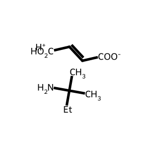 CCC(C)(C)N.O=C([O-])/C=C/C(=O)O.[H+]